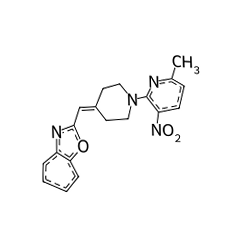 Cc1ccc([N+](=O)[O-])c(N2CCC(=Cc3nc4ccccc4o3)CC2)n1